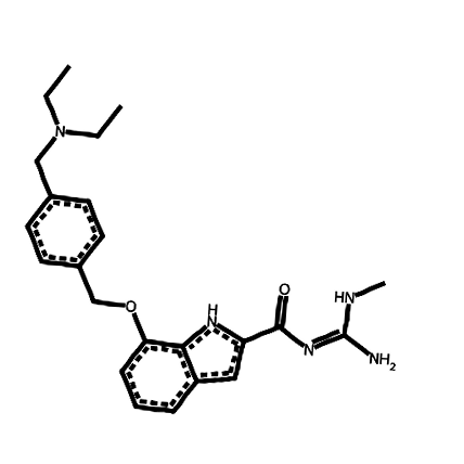 CCN(CC)Cc1ccc(COc2cccc3cc(C(=O)N=C(N)NC)[nH]c23)cc1